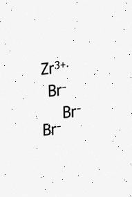 [Br-].[Br-].[Br-].[Zr+3]